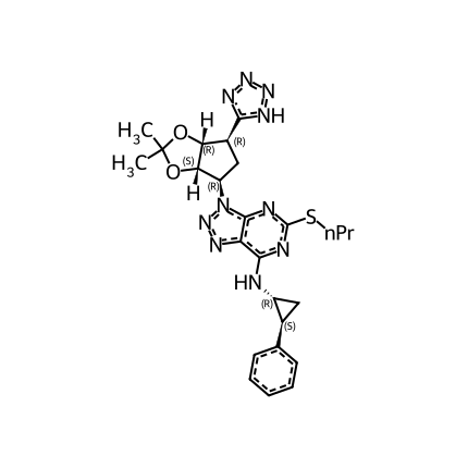 CCCSc1nc(N[C@@H]2C[C@H]2c2ccccc2)c2nnn([C@@H]3C[C@H](c4nnn[nH]4)[C@H]4OC(C)(C)O[C@H]43)c2n1